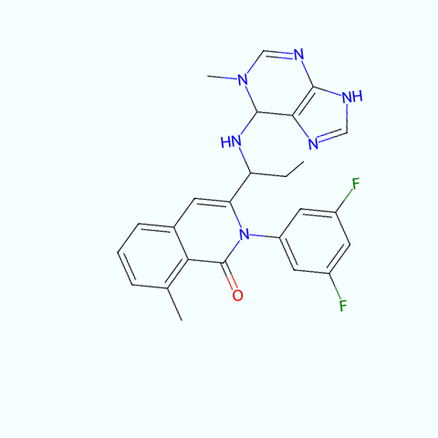 CCC(NC1c2nc[nH]c2N=CN1C)c1cc2cccc(C)c2c(=O)n1-c1cc(F)cc(F)c1